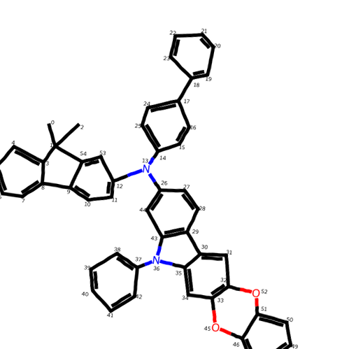 CC1(C)c2ccccc2-c2ccc(N(c3ccc(-c4ccccc4)cc3)c3ccc4c5cc6c(cc5n(-c5ccccc5)c4c3)Oc3ccccc3O6)cc21